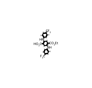 CCOC(=O)C1=C(Nc2ccc(C(F)(F)F)cc2)CC(C(=O)O)=C(Nc2ccc(C(F)(F)F)cc2)C1